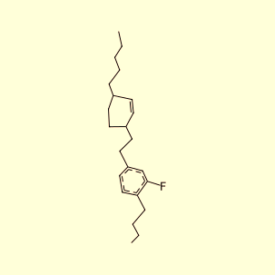 CCCCCC1C=CC(CCc2ccc(CCCC)c(F)c2)CC1